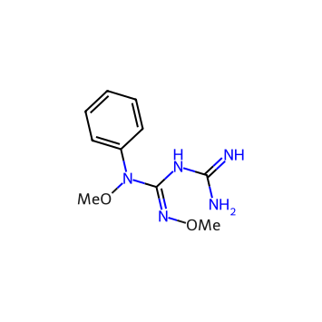 CON=C(NC(=N)N)N(OC)c1ccccc1